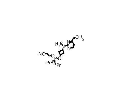 C=Cc1ccnc(N(C)C2CC(OP(OCCC#N)N(C(C)C)C(C)C)C2)n1